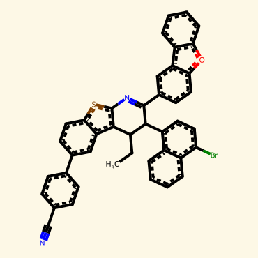 CCC1c2c(sc3ccc(-c4ccc(C#N)cc4)cc23)N=C(c2ccc3oc4ccccc4c3c2)C1c1ccc(Br)c2ccccc12